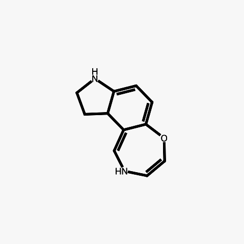 C1=COC2=CC=C3NCCC3C2=CN1